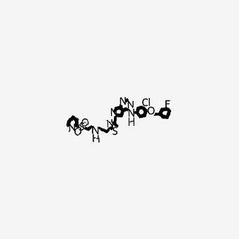 O=S(=O)(CCNCCc1nc(-c2cc3c(Nc4ccc(OCc5cccc(F)c5)c(Cl)c4)ncnc3cn2)cs1)c1ccccn1